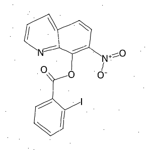 O=C(Oc1c([N+](=O)[O-])ccc2cccnc12)c1ccccc1I